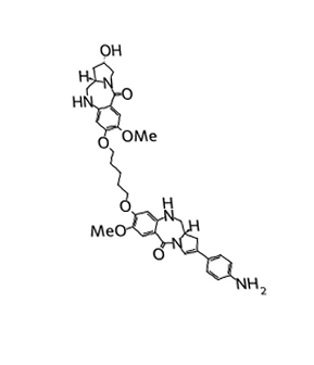 COc1cc2c(cc1OCCCCCOc1cc3c(cc1OC)C(=O)N1C[C@@H](O)C[C@H]1CN3)NC[C@@H]1CC(c3ccc(N)cc3)=CN1C2=O